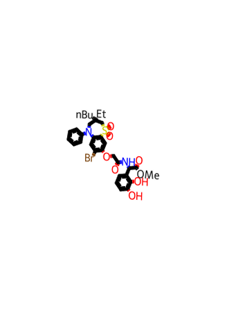 CCCCC1(CC)CN(c2ccccc2)c2cc(Br)c(OCC(=O)NC(C(=O)OC)c3cccc(O)c3O)cc2S(=O)(=O)C1